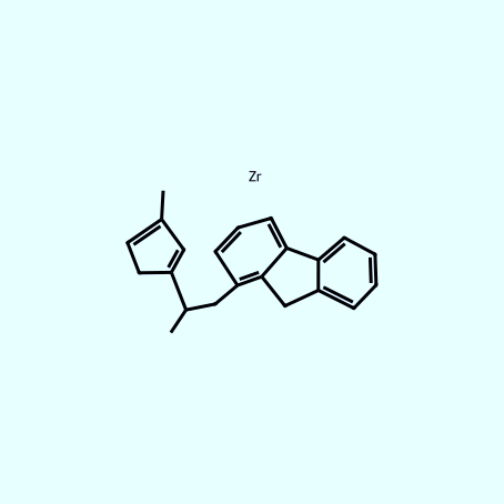 CC1=CCC(C(C)Cc2cccc3c2Cc2ccccc2-3)=C1.[Zr]